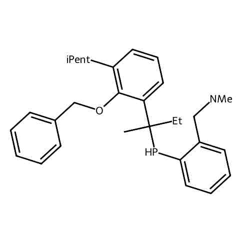 CCCC(C)c1cccc(C(C)(CC)Pc2ccccc2CNC)c1OCc1ccccc1